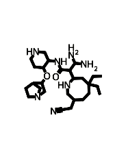 CCC1(CC)CCC(CC#N)CNC(C(C(=O)NC2CNCCC2OC2CN3CCC2C3)C(N)N)C1